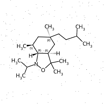 CC(C)CC[C@@]1(C)C[C@@H]2[C@@H]([C@@H](C)C1)N(C(C)C)OC2(C)C